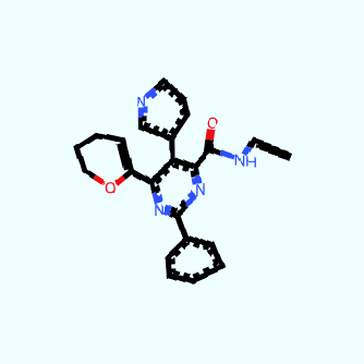 C=CNC(=O)c1nc(-c2ccccc2)nc(C2=CCCCO2)c1-c1cccnc1